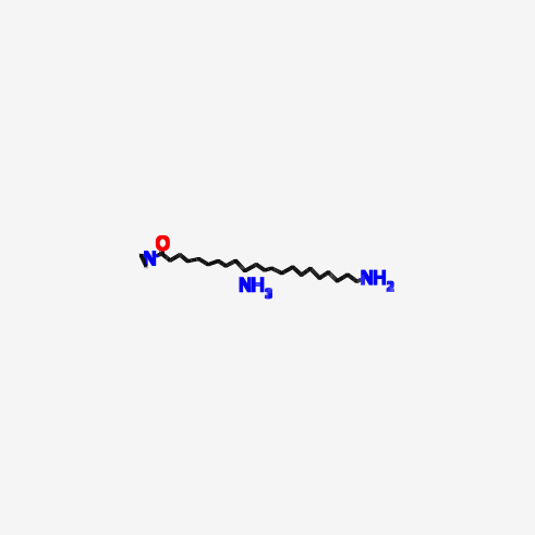 N.NCCCCCCCCCCCCCCCCCCCCCC(=O)N1CC1